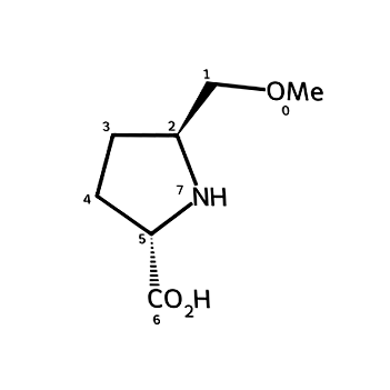 COC[C@@H]1CC[C@@H](C(=O)O)N1